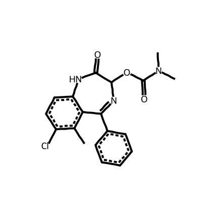 Cc1c(Cl)ccc2c1C(c1ccccc1)=NC(OC(=O)N(C)C)C(=O)N2